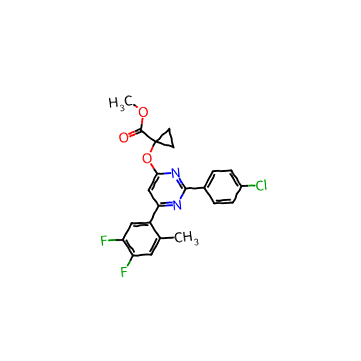 COC(=O)C1(Oc2cc(-c3cc(F)c(F)cc3C)nc(-c3ccc(Cl)cc3)n2)CC1